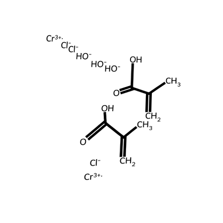 C=C(C)C(=O)O.C=C(C)C(=O)O.[Cl-].[Cl-].[Cl-].[Cr+3].[Cr+3].[OH-].[OH-].[OH-]